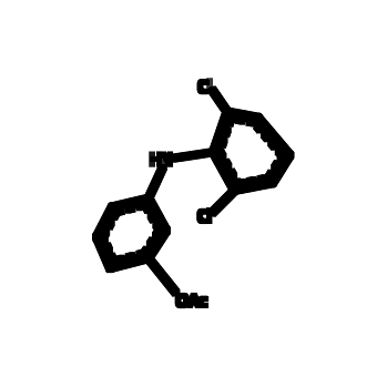 CC(=O)Oc1cccc(Nc2c(Cl)cccc2Cl)c1